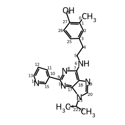 Cc1cc(CCNc2nc(-c3cccnc3)nc3c2ncn3C(C)C)ccc1O